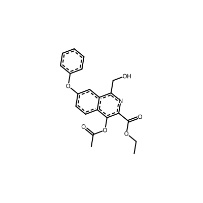 CCOC(=O)c1nc(CO)c2cc(Oc3ccccc3)ccc2c1OC(C)=O